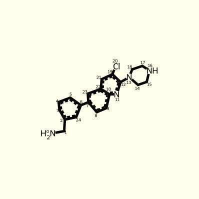 NCc1cccc(-c2ccc3nc(N4CCNCC4)c(Cl)cc3c2)c1